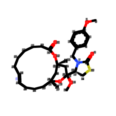 COc1ccc(CN2C(=O)SC[C@@H]2[C@@]2(OC)C[C@H]3C[C@@H](CCC/C=C/CCCCCC(=O)O3)O2)cc1